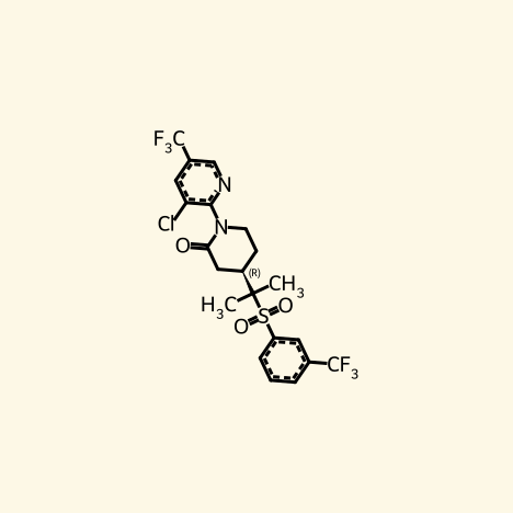 CC(C)([C@@H]1CCN(c2ncc(C(F)(F)F)cc2Cl)C(=O)C1)S(=O)(=O)c1cccc(C(F)(F)F)c1